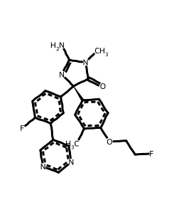 Cc1cc([C@@]2(c3ccc(F)c(-c4cncnc4)c3)N=C(N)N(C)C2=O)ccc1OCCF